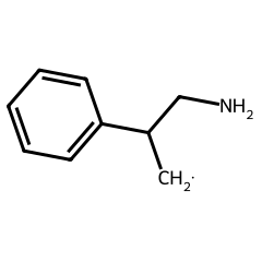 [CH2]C(CN)c1ccccc1